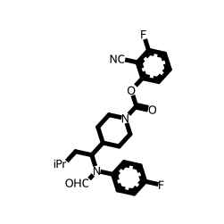 CC(C)CC(C1CCN(C(=O)Oc2cccc(F)c2C#N)CC1)N(C=O)c1ccc(F)cc1